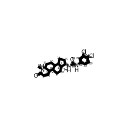 CN1C(=O)C=C[C@]2(C)C3CC[C@@]4(C)C(CC[C@@H]4NC(=O)Nc4ccc(Cl)c(Cl)c4)C3CC[C@@H]12